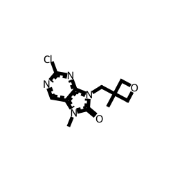 Cn1c(=O)n(CC2(C)COC2)c2nc(Cl)ncc21